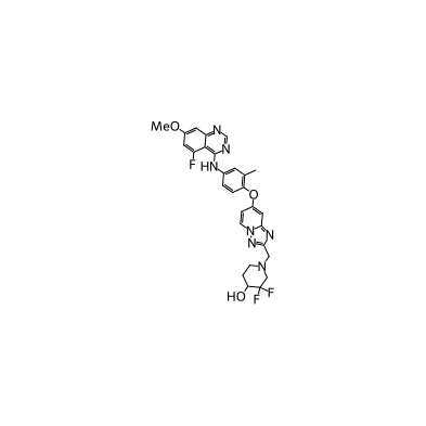 COc1cc(F)c2c(Nc3ccc(Oc4ccn5nc(CN6CCC(O)C(F)(F)C6)nc5c4)c(C)c3)ncnc2c1